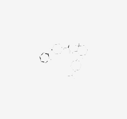 CC(C)N1CCN([C@H]2CCCC(F)(F)C2NC(=O)N2CCC(F)(c3ccccn3)CC2)CC1